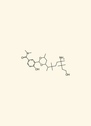 CC1CC(C(C)C(C)(C)CCC(C)(N)C(C)(C)CCO)OC(c2cc(C(=O)N(C)C)ccc2O)O1